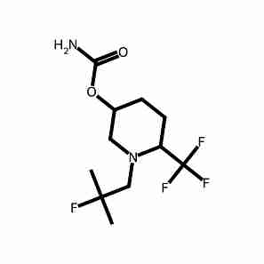 CC(C)(F)CN1CC(OC(N)=O)CCC1C(F)(F)F